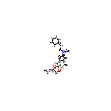 CC(=O)N(CCc1ccccc1)c1cc2c(s1)CC1(CC2)OCC(C)O1